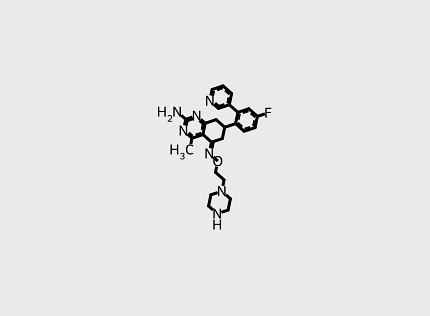 Cc1nc(N)nc2c1/C(=N/OCCN1CCNCC1)CC(c1ccc(F)cc1-c1cccnc1)C2